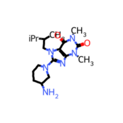 CC(C)C(C)Cn1c(N2CCCC(N)C2)nc2c1c(=O)n(C)c(=O)n2C